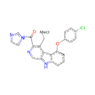 COCc1c(C(=O)n2ccnc2)ncc2[nH]c3cccc(Oc4ccc(Cl)cc4)c3c12